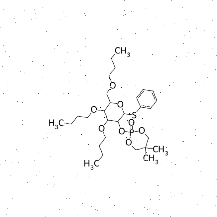 CCCCOCC1OC(Sc2ccccc2)C(OP2(=O)OCC(C)(C)CO2)C(OCCCC)C1OCCCC